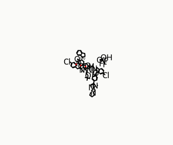 CC(NCc1ccc(Cl)cc1Oc1ccc(-c2cnc(CN3CCCC3)n2C)cc1)C(=O)NC(COC(C)(C)C)C(=O)N(C)C(Cc1ccc(Cl)cc1)CN(C)C(=O)C(CC(=O)O)[C@H]1CCc2ccccc21.O=C(O)C(F)(F)F